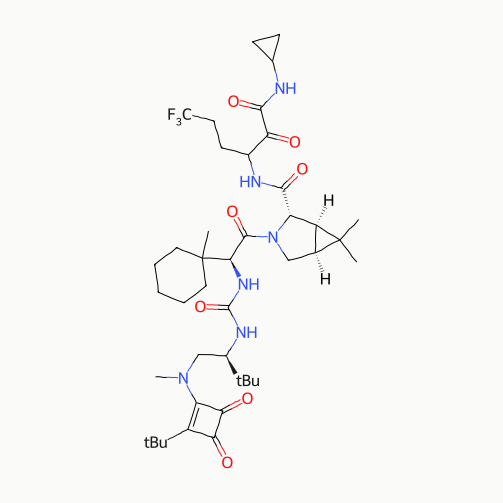 CN(C[C@@H](NC(=O)N[C@H](C(=O)N1C[C@H]2[C@@H]([C@H]1C(=O)NC(CCC(F)(F)F)C(=O)C(=O)NC1CC1)C2(C)C)C1(C)CCCCC1)C(C)(C)C)c1c(C(C)(C)C)c(=O)c1=O